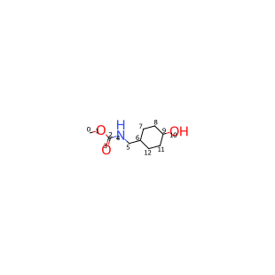 COC(=O)NCC1CCC(O)CC1